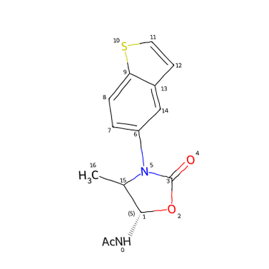 CC(=O)N[C@H]1OC(=O)N(c2ccc3sccc3c2)C1C